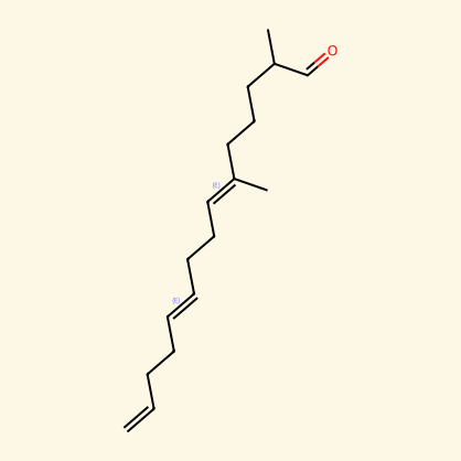 C=CCC/C=C/CC/C=C(\C)CCCC(C)C=O